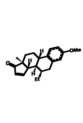 CC[C@@H]1Cc2cc(OC)ccc2[C@H]2CC[C@]3(C)C(=O)C=C[C@H]3[C@H]12